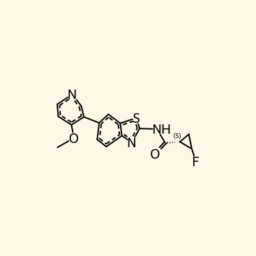 COc1ccncc1-c1ccc2nc(NC(=O)[C@@H]3CC3F)sc2c1